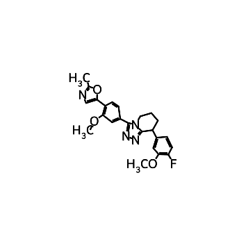 COc1cc(C2CCCn3c(-c4ccc(-c5cnc(C)o5)c(OC)c4)nnc32)ccc1F